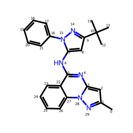 Cc1cc2nc(Nc3cc(C(C)(C)C)nn3-c3ccccc3)c3ccccc3n2n1